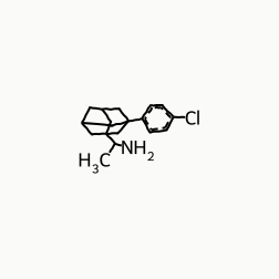 CC(N)C12CC3CC(CC(c4ccc(Cl)cc4)(C3)C1)C2